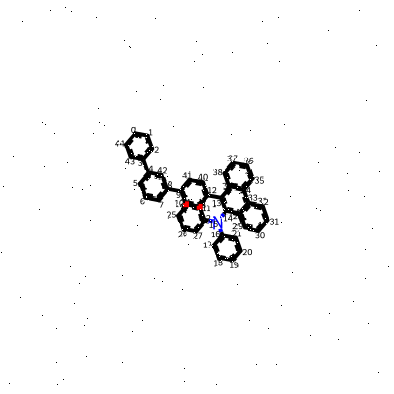 c1ccc(-c2cccc(-c3ccc(-c4c(N(c5ccccc5)c5ccccc5)c5ccccc5c5ccccc45)cc3)c2)cc1